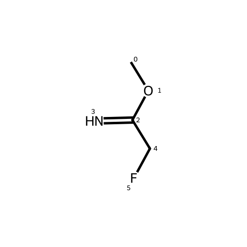 COC(=N)CF